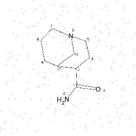 NC(=O)C1CCN2CCCC1C2